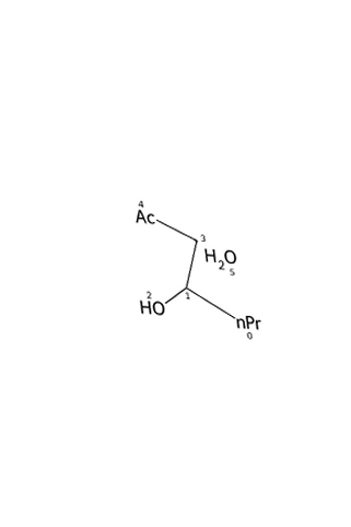 CCCC(O)CC(C)=O.O